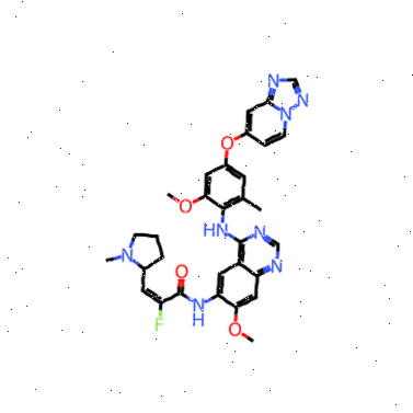 COc1cc2ncnc(Nc3c(C)cc(Oc4ccn5ncnc5c4)cc3OC)c2cc1NC(=O)/C(F)=C\C1CCCN1C